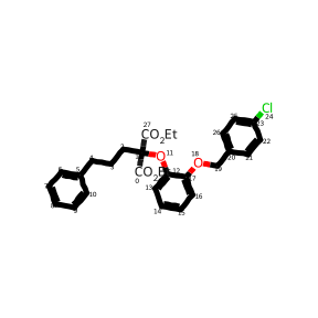 CCOC(=O)C(CCCc1ccccc1)(Oc1ccccc1OCc1ccc(Cl)cc1)C(=O)OCC